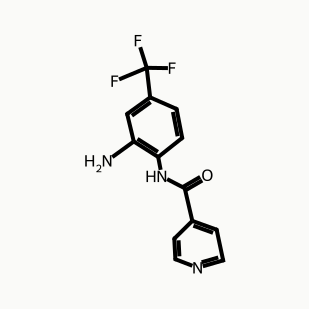 Nc1cc(C(F)(F)F)ccc1NC(=O)c1ccncc1